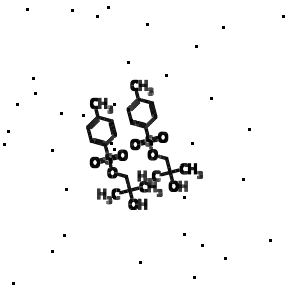 Cc1ccc(S(=O)(=O)OCC(C)(C)O)cc1.Cc1ccc(S(=O)(=O)OCC(C)(C)O)cc1